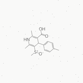 CC1=C(C(=O)O)C(c2ccc(C)cc2)C([S+](C)[O-])=C(C)N1